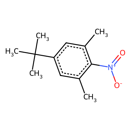 Cc1cc(C(C)(C)C)cc(C)c1[N+](=O)[O-]